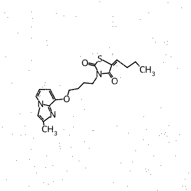 CCC/C=C1/SC(=O)N(CCCCOc2cccn3cc(C)nc23)C1=O